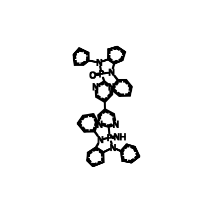 N=P1(c2ncc(-c3cnc(P4(=O)N(c5ccccc5)c5ccccc5N4c4ccccc4)nc3)cn2)N(c2ccccc2)c2ccccc2N1c1ccccc1